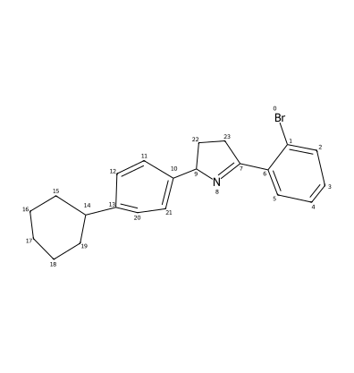 Brc1ccccc1C1=NC(c2ccc(C3CCCCC3)cc2)CC1